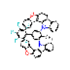 Fc1c(F)c(F)c(-c2cc(-n3c4ccccc4c4ccc5oc6ccccc6c5c43)c(C(F)(F)F)c(-n3c4ccccc4c4ccc5oc6ccccc6c5c43)c2)c(F)c1F